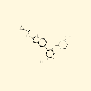 Cc1cc(-c2ccn3nc(NC(=O)C4CC4)cc3c2)c(OC2CCCC(O)C2)cn1